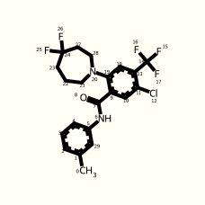 Cc1cccc(NC(=O)c2cc(Cl)c(C(F)(F)F)cc2N2CCCC(F)(F)CC2)c1